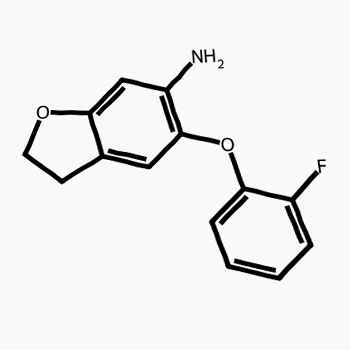 Nc1cc2c(cc1Oc1ccccc1F)CCO2